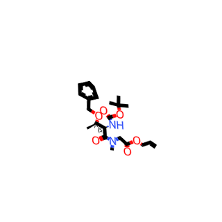 C=CCOC(=O)CN(C)C(=O)[C@@H](NC(=O)OC(C)(C)C)[C@@H](C)OCc1ccccc1